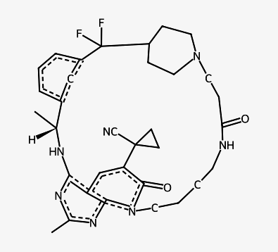 Cc1nc2c3cc(C4(C#N)CC4)c(=O)n(c3n1)CCCCNC(=O)CCN1CCC(CC1)C(F)(F)c1cccc(c1)[C@@H](C)N2